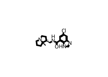 C[C@@]12CCCN1CC[C@H]2CNC(=O)c1cc(Cl)cc2nc[nH]c12